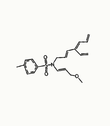 C=C/C=C(C=C)/C=C/CN(/C=C/COC)S(=O)(=O)c1ccc(C)cc1